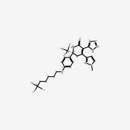 Cn1ccc(C2=C(c3nnn[nH]3)C(=O)N[C@@](c3ccc(OCCCCCC(F)(F)F)cc3)(C(F)(F)F)C2)n1